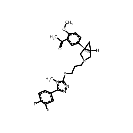 COc1ccc([C@@]23C[C@@H]2CN(CCCSc2nnc(-c4ccc(F)c(F)c4)n2C)C3)cc1C(C)=O